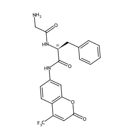 NCC(=O)N[C@@H](Cc1ccccc1)C(=O)Nc1ccc2c(C(F)(F)F)cc(=O)oc2c1